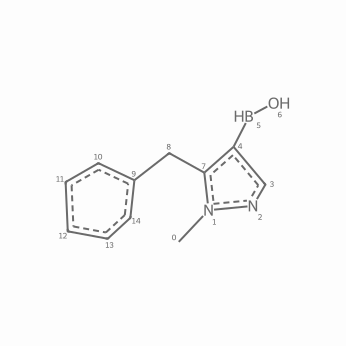 Cn1ncc(BO)c1Cc1ccccc1